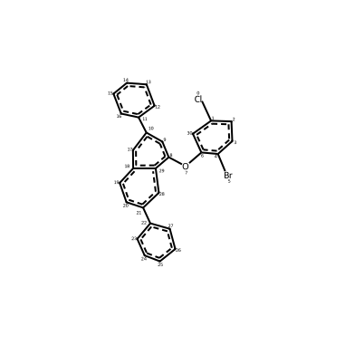 Clc1ccc(Br)c(Oc2cc(-c3ccccc3)cc3ccc(-c4ccccc4)cc23)c1